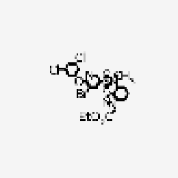 CCOC(=O)Cn1ncc2c1CCC[C@H]2N(C)S(=O)(=O)c1cnc(Oc2cc(Cl)cc(Cl)c2)c(Br)c1